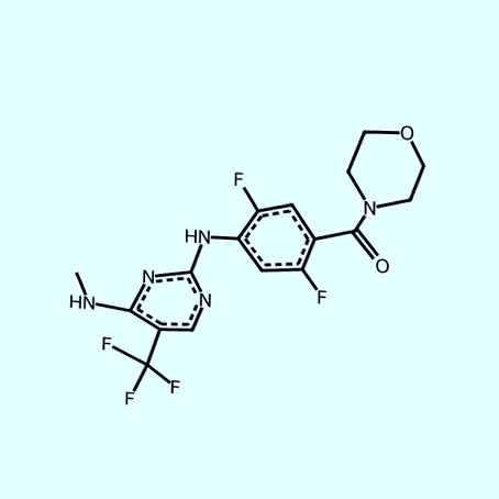 CNc1nc(Nc2cc(F)c(C(=O)N3CCOCC3)cc2F)ncc1C(F)(F)F